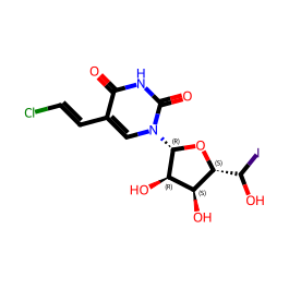 O=c1[nH]c(=O)n([C@@H]2O[C@H](C(O)I)[C@@H](O)[C@H]2O)cc1C=CCl